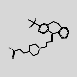 O=C(O)CCC1CCN(CCC=C2c3ccccc3CCc3cc(C(F)(F)F)ccc32)CC1